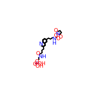 O=C(CCCc1cnc2ccc(CCCNC(=O)ON3C(=O)CCC3=O)cc2c1)NCCOP(=O)(O)O